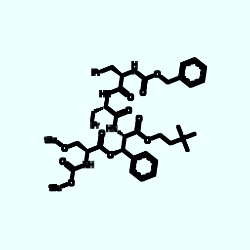 CC(C)C[C@H](NC(=O)[C@@H](CC(C)C)NC(=O)OCc1ccccc1)C(=O)N[C@H](C(=O)OCC[Si](C)(C)C)[C@H](OC(=O)[C@H](COC(C)(C)C)NC(=O)OC(C)(C)C)c1ccccc1